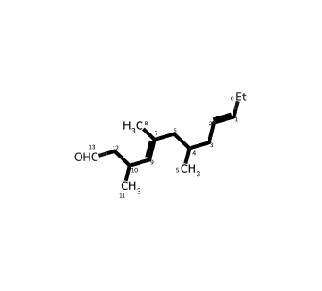 CCC=CCC(C)CC(C)=CC(C)CC=O